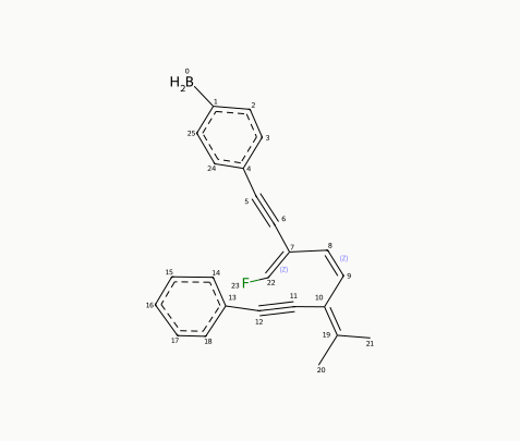 Bc1ccc(C#CC(/C=C\C(C#Cc2ccccc2)=C(C)C)=C\F)cc1